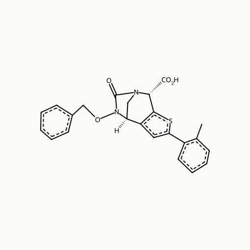 Cc1ccccc1-c1cc2c(s1)[C@@H](C(=O)O)N1C[C@@H]2N(OCc2ccccc2)C1=O